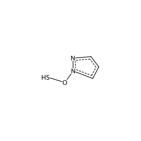 SOn1cccn1